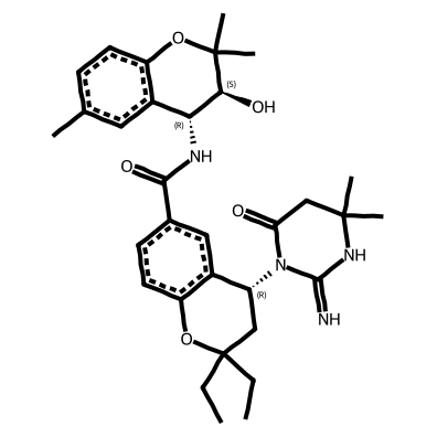 CCC1(CC)C[C@@H](N2C(=N)NC(C)(C)CC2=O)c2cc(C(=O)N[C@@H]3c4cc(C)ccc4OC(C)(C)[C@H]3O)ccc2O1